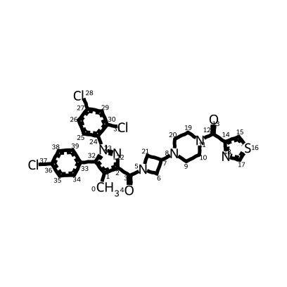 Cc1c(C(=O)N2CC(N3CCN(C(=O)c4cscn4)CC3)C2)nn(-c2ccc(Cl)cc2Cl)c1-c1ccc(Cl)cc1